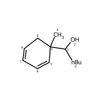 CCCCC(O)C1(C)C=CC=CC1